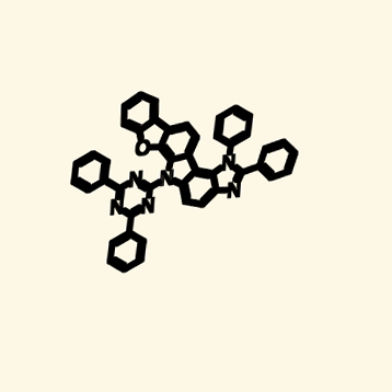 c1ccc(-c2nc(-c3ccccc3)nc(-n3c4ccc5nc(-c6ccccc6)n(-c6ccccc6)c5c4c4ccc5c6ccccc6oc5c43)n2)cc1